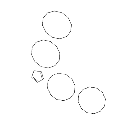 C1=CCC=C1.C1CCCCCCCCCCC1.C1CCCCCCCCCCC1.C1CCCCCCCCCCC1.C1CCCCCCCCCCC1